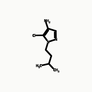 CC(C)CCn1ncc(N)c1Cl